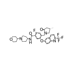 C[C@H]1CC(=O)N(Cc2cc(F)c(C(=O)NC3CCN(C4CCOCC4)CC3)cc2Oc2ccc3nc(C(F)(F)F)ccc3c2)C1